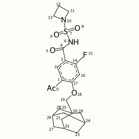 CC(=O)c1cc(C(=O)NS(=O)(=O)N2CCC2)c(F)cc1OCC12CC3CC(CC(C3)C1)C2